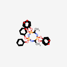 CC1N=P(Oc2ccccc2)(Oc2ccccc2)N=P(Oc2ccccc2)(Oc2ccccc2)C(C)N=P1(Oc1ccccc1)Oc1ccccc1